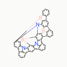 c1ccc2c(c1)B1c3cc4c5cccc6c7cc8c9cccc%10c%11c%12c%13c%14c%15c%11n(c8c8c7n(c4c(c3N%14c3c1c-2cc1c3B%13c2c-1cccc2-%12)B8%15)c56)c9%10